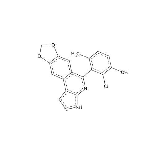 Cc1ccc(O)c(Cl)c1-c1nc2[nH]ncc2c2cc3c(cc12)OCO3